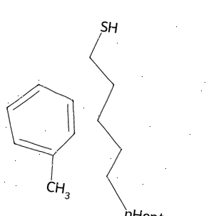 CCCCCCCCCCCCS.Cc1ccccc1